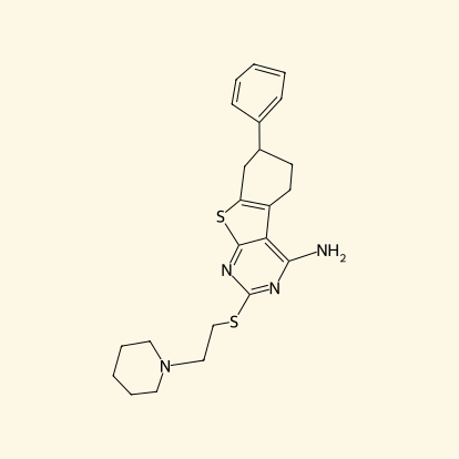 Nc1nc(SCCN2CCCCC2)nc2sc3c(c12)CCC(c1ccccc1)C3